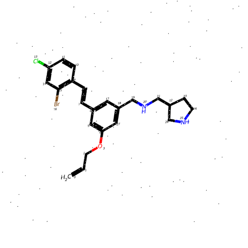 C=CCOc1cc(/C=C/c2ccc(Cl)cc2Br)cc(CNCC2CCNC2)c1